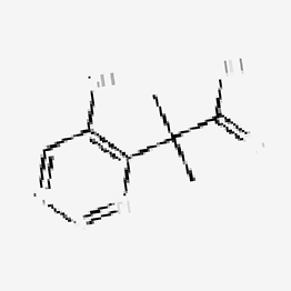 CC(C)(C(N)=O)c1nnncc1N